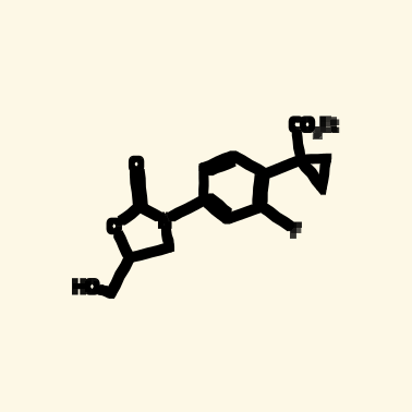 CCOC(=O)C1(c2ccc(N3CC(CO)OC3=O)cc2F)CC1